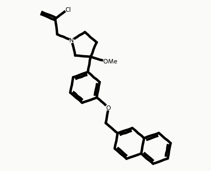 C=C(Cl)CN1CCC(OC)(c2cccc(OCc3ccc4ccccc4c3)c2)C1